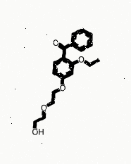 CCOc1cc(OCCOCCO)ccc1C(=O)c1ccccc1